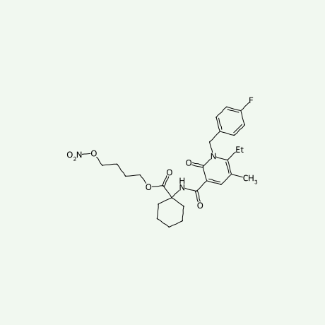 CCc1c(C)cc(C(=O)NC2(C(=O)OCCCCO[N+](=O)[O-])CCCCC2)c(=O)n1Cc1ccc(F)cc1